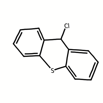 ClC1c2ccccc2Sc2ccccc21